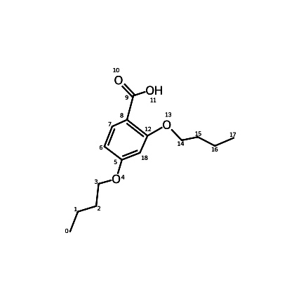 CCCCOc1ccc(C(=O)O)c(OCCCC)c1